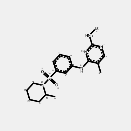 CCNc1ncc(C)c(Nc2cccc(S(=O)(=O)N3CCCCC3C)c2)n1